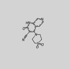 N#Cc1c(N2CCS(=O)(=O)CC2)c2ccncc2[nH]c1=O